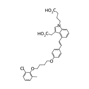 Cc1cccc(Cl)c1OCCCCOc1ccc(/C=C/c2cccc3c2c(CC(=O)O)cn3CCCC(=O)O)cc1